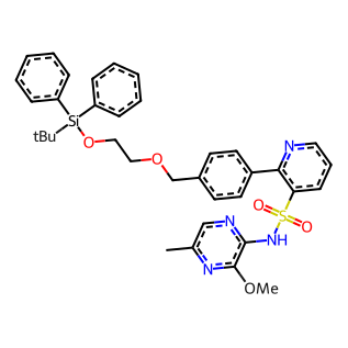 COc1nc(C)cnc1NS(=O)(=O)c1cccnc1-c1ccc(COCCO[Si](c2ccccc2)(c2ccccc2)C(C)(C)C)cc1